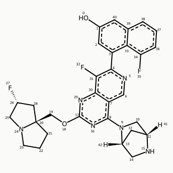 Oc1cc(-c2ncc3c(N4C[C@H]5C[C@@H]4CN5)nc(OC[C@@]45CCCN4C[C@H](F)C5)nc3c2F)c2c(F)cccc2c1